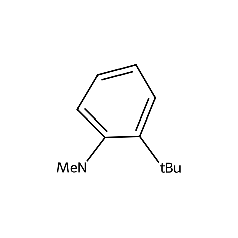 CNc1ccccc1C(C)(C)C